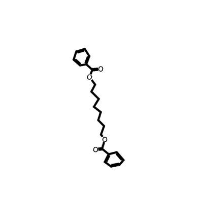 O=C(OCCCCCCCCOC(=O)c1ccccc1)c1ccccc1